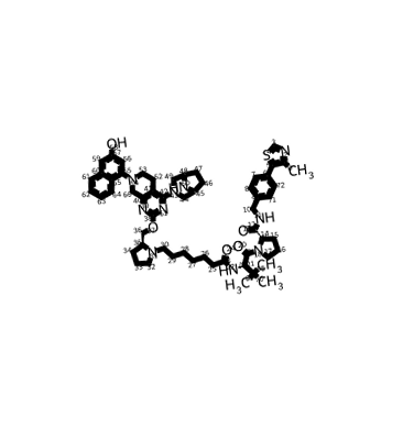 Cc1ncsc1-c1ccc(CNC(=O)[C@@H]2CCCN2C(=O)[C@@H](NC(=O)CCCCCCN2CCC[C@H]2COc2nc3c(c(N4CC5CCC(C4)N5)n2)CCN(c2cc(O)cc4ccccc24)C3)C(C)(C)C)cc1